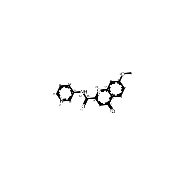 COc1ccc2c(=O)cc(C(=O)Nc3cccnc3)oc2c1